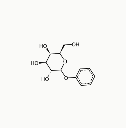 OC[C@H]1OC(Oc2ccccc2)[C@H](O)[C@@H](O)[C@H]1O